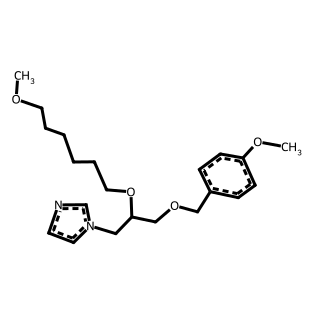 COCCCCCCOC(COCc1ccc(OC)cc1)Cn1ccnc1